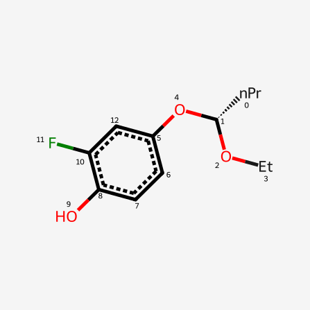 CCC[C@H](OCC)Oc1ccc(O)c(F)c1